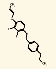 C/C=C/Oc1ccc(COc2ccc(CCC)cc2)c(F)c1F